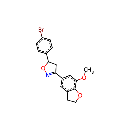 COc1cc(C2=NOC(c3ccc(Br)cc3)C2)cc2c1OCC2